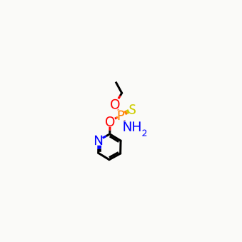 CCOP(N)(=S)Oc1ccccn1